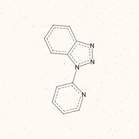 c1ccc(-n2nnc3ccccc32)nc1